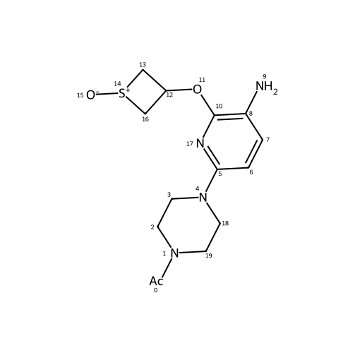 CC(=O)N1CCN(c2ccc(N)c(OC3C[S+]([O-])C3)n2)CC1